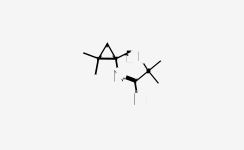 CC/C(=N/C1(C)CC1(C)C)C(C)(C)CC